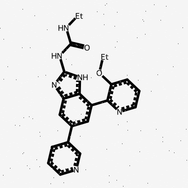 CCNC(=O)Nc1nc2cc(-c3cccnc3)cc(-c3ncccc3OCC)c2[nH]1